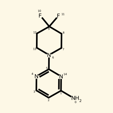 Nc1ccnc(N2CCC(F)(F)CC2)n1